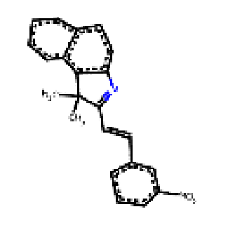 CC1(C)C(/C=C/c2cccc([N+](=O)[O-])c2)=Nc2ccc3ccccc3c21